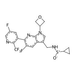 [O-][S+](NCc1cn(C2COC2)c2nc(-c3cc(F)cnc3C(F)(F)F)c(F)cc12)C1CC1